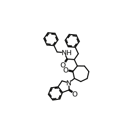 O=C(NCc1ccccc1)C(Cc1ccccc1)C1CCCCC(N2Cc3ccccc3C2=O)C1=O